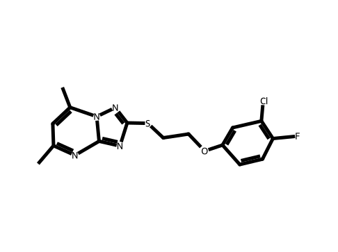 Cc1cc(C)n2nc(SCCOc3ccc(F)c(Cl)c3)nc2n1